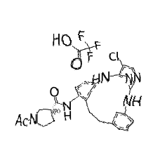 CC(=O)N1CC[C@@H](C(=O)Nc2ccc3cc2CCc2cccc(c2)Nc2ncc(Cl)c(n2)N3)C1.O=C(O)C(F)(F)F